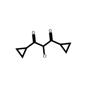 O=C(C1CC1)C(Cl)C(=O)C1CC1